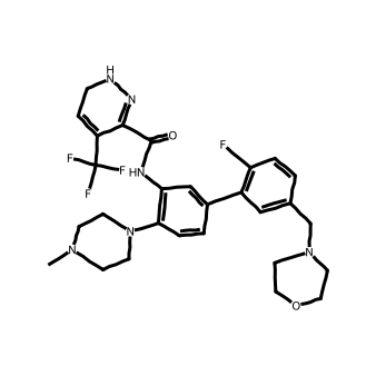 CN1CCN(c2ccc(-c3cc(CN4CCOCC4)ccc3F)cc2NC(=O)C2=NNCC=C2C(F)(F)F)CC1